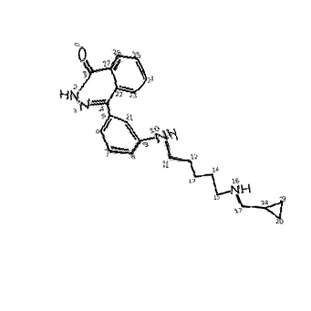 O=c1[nH]nc(-c2cccc(NCCCCCNCC3CC3)c2)c2ccccc12